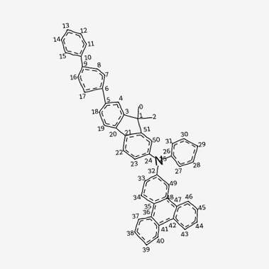 CC1(C)c2cc(-c3ccc(-c4ccccc4)cc3)ccc2-c2ccc(N(c3ccccc3)c3ccc4c5ccccc5c5ccccc5c4c3)cc21